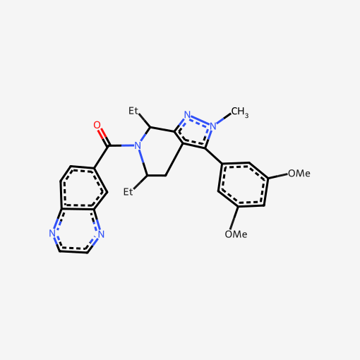 CCC1Cc2c(nn(C)c2-c2cc(OC)cc(OC)c2)C(CC)N1C(=O)c1ccc2nccnc2c1